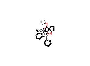 COC(=O)C1(C(O[SiH](c2ccccc2)c2ccccc2)C(C)(C)C)CC=CC1=O